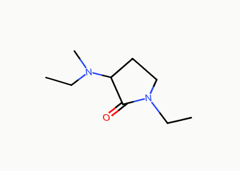 CCN1CCC(N(C)CC)C1=O